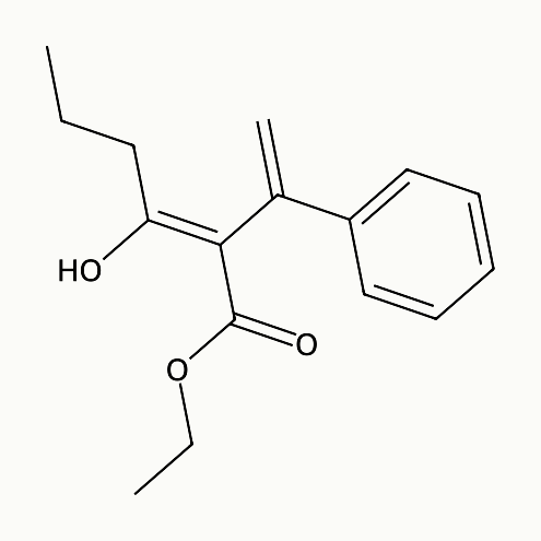 C=C(/C(C(=O)OCC)=C(/O)CCC)c1ccccc1